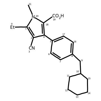 CCc1c(C#N)c(-c2ccc(CC3CCCCC3)cc2)c(C(=O)O)n1C